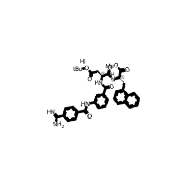 COC(=O)[C@H](Cc1cccc2ccccc12)NC(=O)[C@H](CC(=O)OC(C)(C)C)NC(=O)c1cccc(NC(=O)c2ccc(C(=N)N)cc2)c1.I